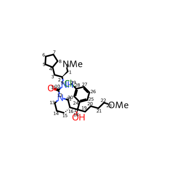 CNC[C@H](CC1CCCC1)NC(=O)N1CCC[C@@H]([C@@](O)(CCCCOC)c2cccc(Cl)c2)C1